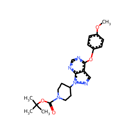 COc1ccc(Oc2ncnc3c2cnn3C2CCN(C(=O)OC(C)(C)C)CC2)cc1